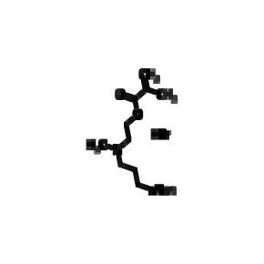 Br.C=C(C)C(=O)OCCN(C)CCCCCCCCCCCC